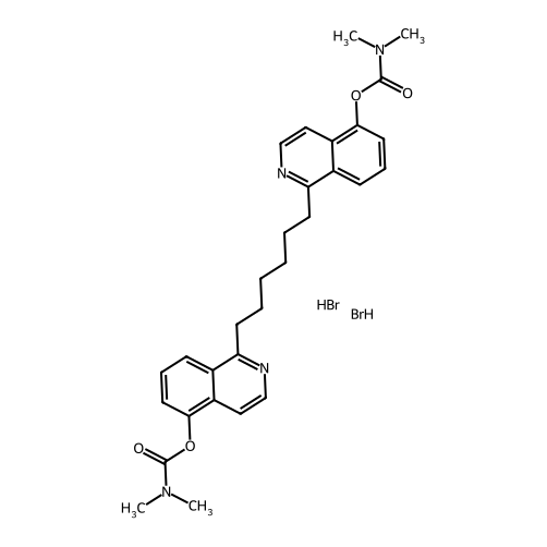 Br.Br.CN(C)C(=O)Oc1cccc2c(CCCCCCc3nccc4c(OC(=O)N(C)C)cccc34)nccc12